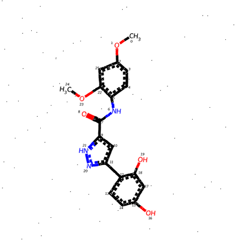 COc1ccc(NC(=O)c2cc(-c3ccc(O)cc3O)n[nH]2)c(OC)c1